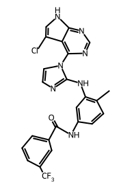 Cc1ccc(NC(=O)c2cccc(C(F)(F)F)c2)cc1Nc1nccn1-c1ncnc2[nH]cc(Cl)c12